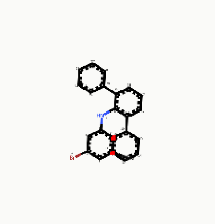 CC(C)(C)c1cc(Br)cc(Nc2c(-c3ccccc3)cccc2-c2ccccc2)c1